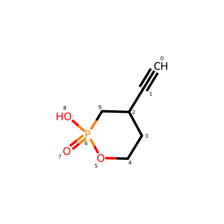 C#CC1CCOP(=O)(O)C1